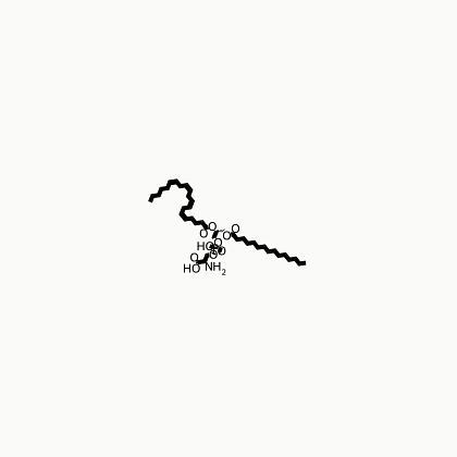 CCCCC/C=C\C/C=C\C/C=C\C/C=C\CCCC(=O)O[C@H](COC(=O)CCCCCCCCCCCCCC)COP(=O)(O)OC[C@H](N)C(=O)O